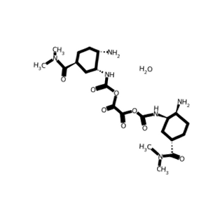 CN(C)C(=O)[C@H]1CC[C@H](N)[C@H](NC(=O)OC(=O)C(=O)OC(=O)N[C@@H]2C[C@@H](C(=O)N(C)C)CC[C@@H]2N)C1.O